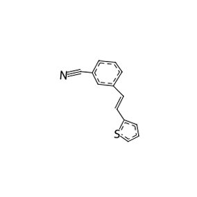 N#Cc1cccc(C=Cc2cccs2)c1